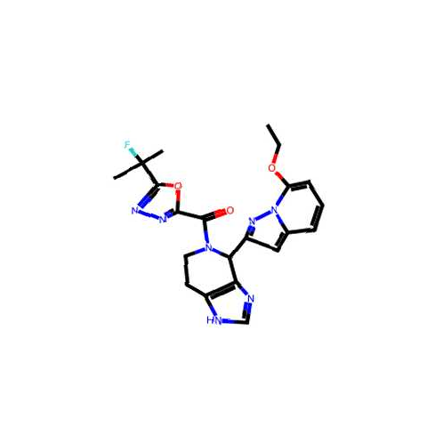 CCOc1cccc2cc(C3c4nc[nH]c4CCN3C(=O)c3nnc(C(C)(C)F)o3)nn12